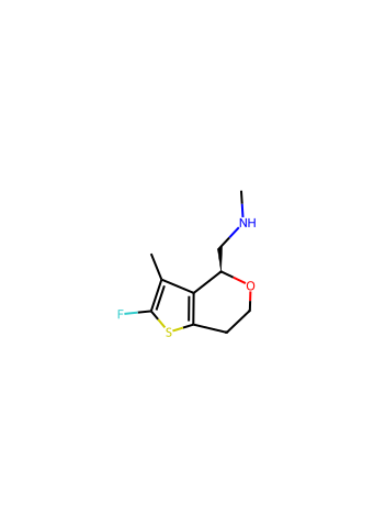 CNC[C@H]1OCCc2sc(F)c(C)c21